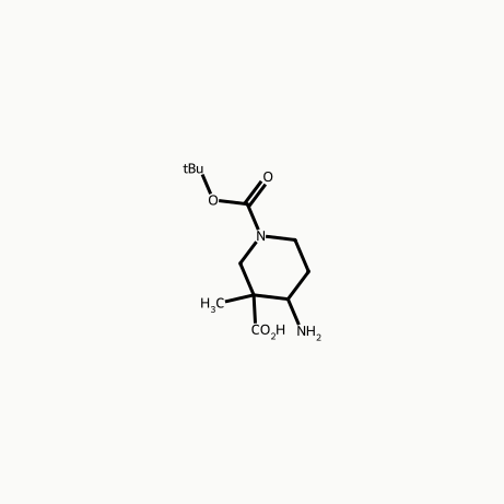 CC(C)(C)OC(=O)N1CCC(N)C(C)(C(=O)O)C1